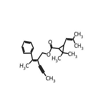 CC#CC(COC(=O)C1C(C=C(C)C)C1(C)C)=C(C)c1ccccc1